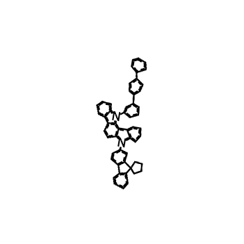 c1ccc(-c2ccc(-c3cccc(-n4c5ccccc5c5ccc6c(c7ccccc7n6-c6ccc7c(c6)C6(CCCC6)c6ccccc6-7)c54)c3)cc2)cc1